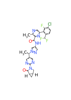 Cc1ncc(-c2c(C(F)F)ccc(Cl)c2F)nc1C(=O)Nc1cnn([C@H](C)c2cnc(N3C[C@H]4C[C@H]4C3=O)nc2)c1